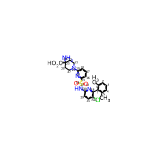 Cc1cccc(C)c1-c1nc(NS(=O)(=O)c2cccc(N3CCC(N)(C(=O)O)CC3)n2)ccc1Cl